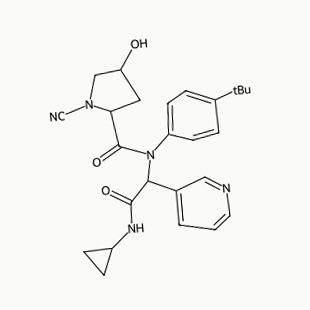 CC(C)(C)c1ccc(N(C(=O)C2CC(O)CN2C#N)C(C(=O)NC2CC2)c2cccnc2)cc1